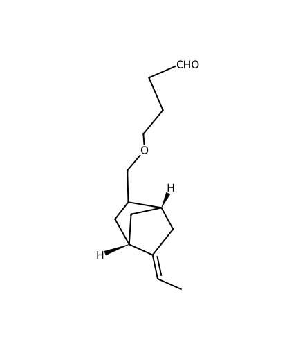 CC=C1C[C@@H]2C[C@H]1CC2COCCCC=O